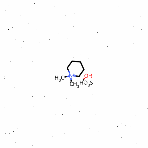 C[N+]1(C)CCCCC1.O=S(=O)(O)O